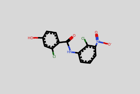 O=C(Nc1cccc([N+](=O)[O-])c1Cl)c1ccc(O)cc1Cl